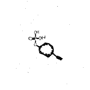 C#Cc1ccc(OP(=O)(O)O)cc1